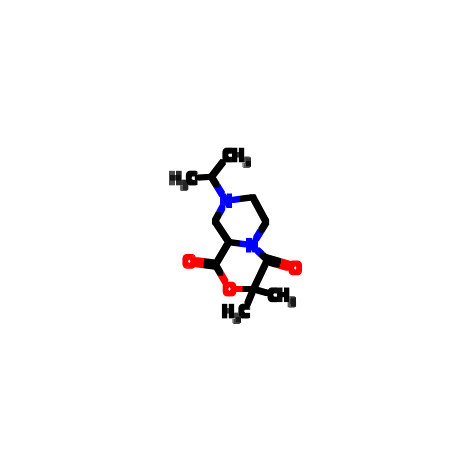 CC(C)N1CCN2C(=O)C(C)(C)OC(=O)C2C1